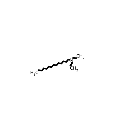 C=CCN(CC=C)CCCCCCCCCCCCCC